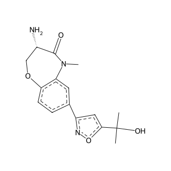 CN1C(=O)[C@@H](N)COc2ccc(-c3cc(C(C)(C)O)on3)cc21